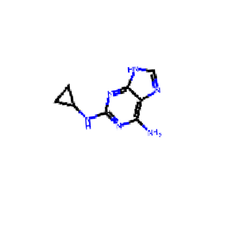 Nc1nc(NC2CC2)nc2[nH]cnc12